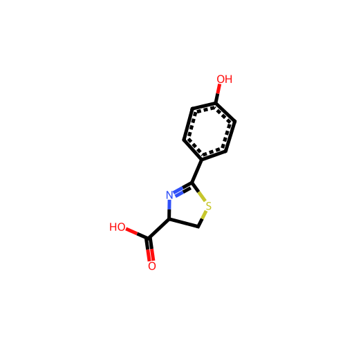 O=C(O)C1CSC(c2ccc(O)cc2)=N1